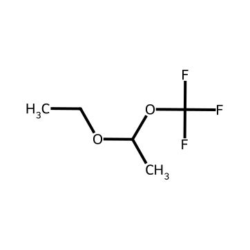 CCOC(C)OC(F)(F)F